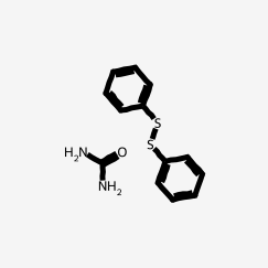 NC(N)=O.c1ccc(SSc2ccccc2)cc1